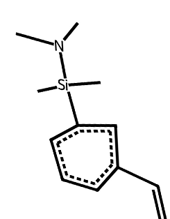 C=Cc1cccc([Si](C)(C)N(C)C)c1